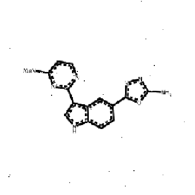 CNc1ccnc(-c2c[nH]c3ccc(-c4nnc(N)o4)cc23)n1